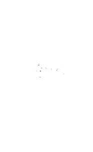 CCCC[C@H](C)C[C@@H](/C=C/[C@@H]1[C@@H](CC(=O)CCCCC(=O)O)[C@@H](O)C[C@H]1OC1CCCCO1)OC1CCCCO1